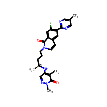 C[C@@H](CCCn1ccc2cc(-c3ncc(C(F)(F)F)cn3)c(F)cc2c1=O)Nc1cnn(C)c(=O)c1C(F)(F)F